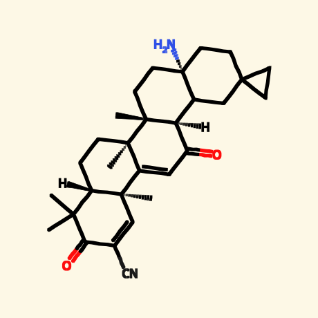 CC1(C)C(=O)C(C#N)=C[C@]2(C)C3=CC(=O)[C@@H]4C5CC6(CC6)CC[C@]5(N)CC[C@@]4(C)[C@]3(C)CC[C@@H]12